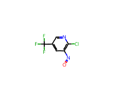 O=Nc1cc(C(F)(F)F)cnc1Cl